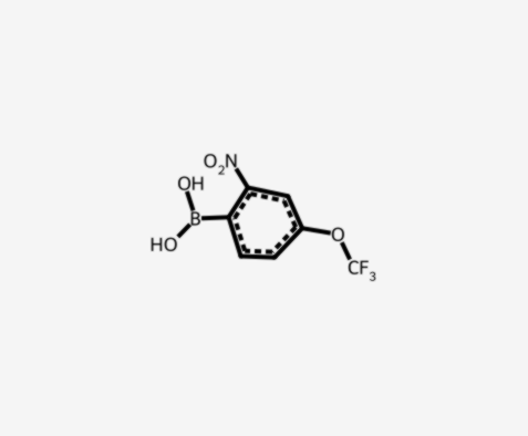 O=[N+]([O-])c1cc(OC(F)(F)F)ccc1B(O)O